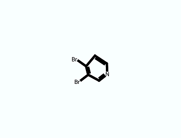 Brc1[c]cncc1Br